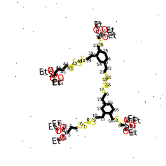 CCO[Si](CCCSSSSCCC1CC(CCSSSSCCC2CCC(CSC[Si](OCC)(OCC)OCC)C(CCSSSSCCC[Si](OCC)(OCC)OCC)C2)CCC1CSC[Si](OCC)(OCC)OCC)(OCC)OCC